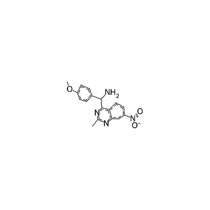 COc1ccc(C(N)c2nc(C)nc3cc([N+](=O)[O-])ccc23)cc1